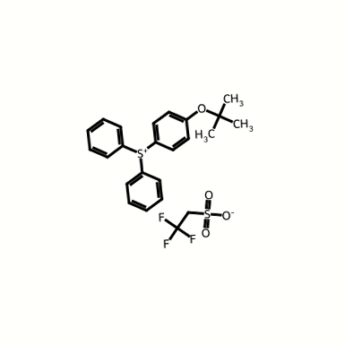 CC(C)(C)Oc1ccc([S+](c2ccccc2)c2ccccc2)cc1.O=S(=O)([O-])CC(F)(F)F